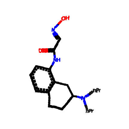 CCCN(CCC)C1CCc2cccc(NC(=O)C=NO)c2C1